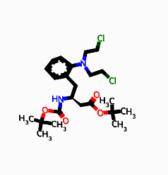 CC(C)(C)OC(=O)C[C@H](Cc1ccccc1N(CCCl)CCCl)NC(=O)OC(C)(C)C